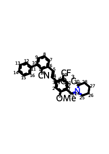 COc1cc(/C=C/c2cccc(-c3ccccc3)c2C#N)c(C(F)(F)F)cc1CN1CCCC[C@H]1C(=O)O